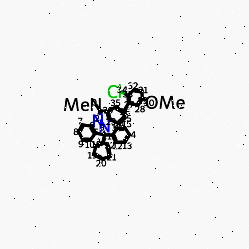 CNc1nn(C(c2ccccc2)(c2ccccc2)c2ccccc2)c2ccc(-c3cc(OC)ccc3Cl)cc12